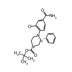 CC(C)(C)OC(=O)N1CCN(c2ccc(C(N)=O)cc2Cl)[C@H](c2ccccc2)C1